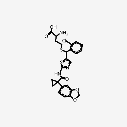 NC(CCSC(c1cnc(NC(=O)C2(c3ccc4c(c3)OCO4)CC2)s1)c1ccccc1Cl)C(=O)O